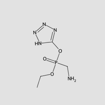 CCOP(=O)(CN)Oc1nnn[nH]1